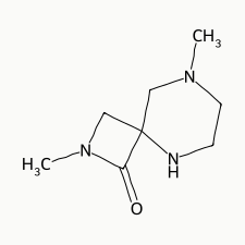 CN1CCNC2(C1)CN(C)C2=O